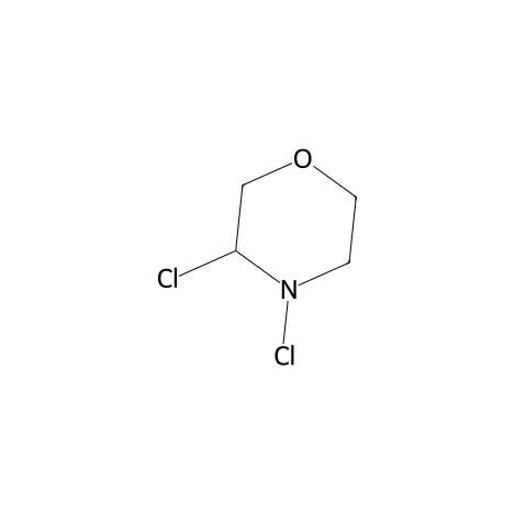 ClC1COCCN1Cl